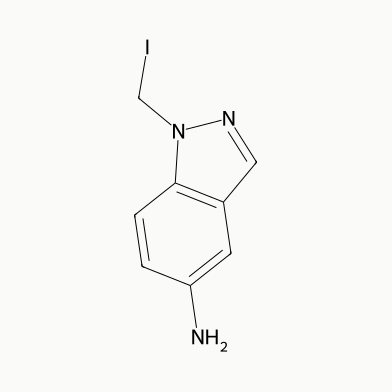 Nc1ccc2c(cnn2CI)c1